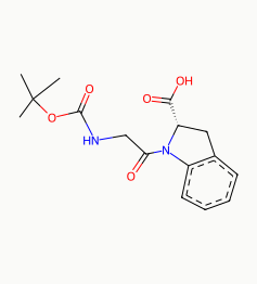 CC(C)(C)OC(=O)NCC(=O)N1c2ccccc2C[C@H]1C(=O)O